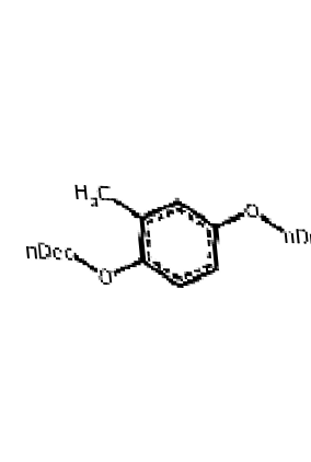 CCCCCCCCCCOc1ccc(OCCCCCCCCCC)c(C)c1